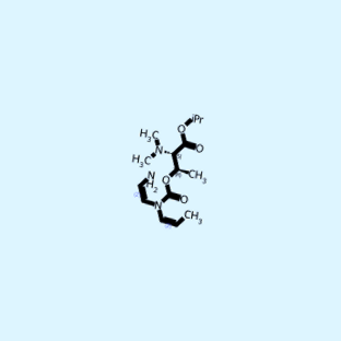 C/C=C\N(/C=C\N)C(=O)O[C@H](C)[C@@H](C(=O)OC(C)C)N(C)C